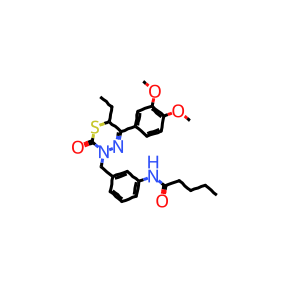 CCCCC(=O)Nc1cccc(CN2N=C(c3ccc(OC)c(OC)c3)C(CC)SC2=O)c1